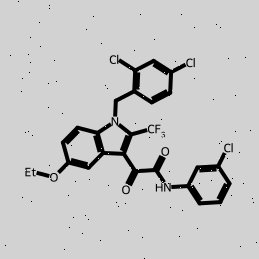 CCOc1ccc2c(c1)c(C(=O)C(=O)Nc1cccc(Cl)c1)c(C(F)(F)F)n2Cc1ccc(Cl)cc1Cl